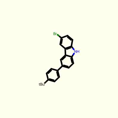 CC(C)(C)c1ccc(-c2ccc3[nH]c4ccc(Br)cc4c3c2)cc1